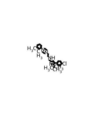 Cc1cccc(N2CCN(CCNCc3cc(-c4ccc(Cl)cc4)n(C(C)(C)C)n3)CC2)c1C